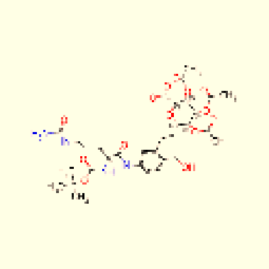 CC(=O)O[C@@H]1[C@@H](OC(C)=O)[C@H](CCc2cc(NC(=O)[C@H](CCCNC(N)=O)NC(=O)OC(C)(C)C)ccc2CO)O[C@H](C(=O)O)[C@H]1OC(C)=O